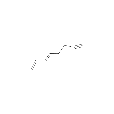 C#CCCC=CC=C